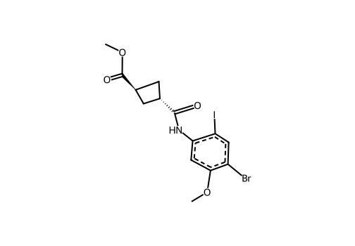 COc1cc(NC(=O)[C@H]2C[C@H](C(=O)OC)C2)c(I)cc1Br